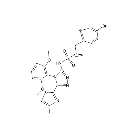 COc1cccc(OC)c1-n1c(NS(=O)(=O)[C@H](C)Cc2ccc(Br)cn2)nnc1-c1nc(C)cs1